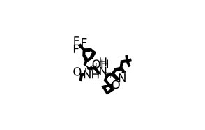 CC(=O)N[C@@H](Cc1cccc(C(F)(F)F)c1)[C@H](O)CN[C@H]1CC2(CCC2)Oc2ncc(CC(C)(C)C)cc21